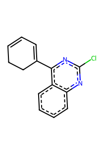 Clc1nc(C2=CC=CCC2)c2ccccc2n1